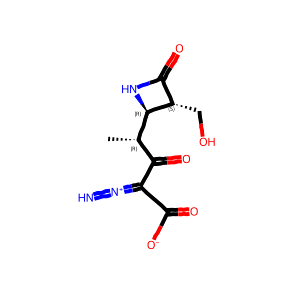 C[C@@H](C(=O)C(=[N+]=N)C(=O)[O-])[C@H]1NC(=O)[C@@H]1CO